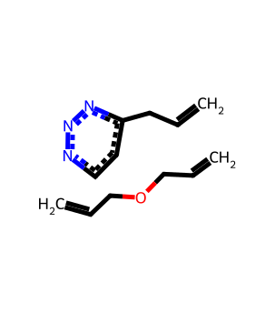 C=CCOCC=C.C=CCc1ccnnn1